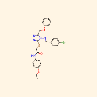 CCOc1ccc(NC(=O)CSc2nnc(COc3ccccc3)n2N=Cc2ccc(Br)cc2)cc1